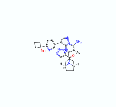 CC(=O)c1c(C2C[C@H]3CC[C@@H](C2)N3C(=O)c2cnn[nH]2)nc2c(-c3ccc(C4(O)CCC4)nc3)cnn2c1N